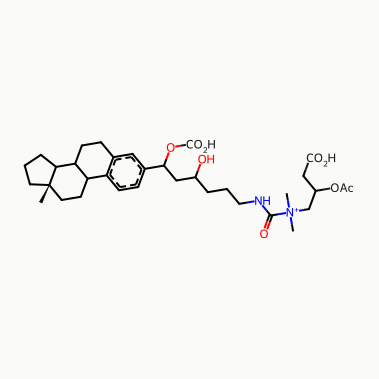 CC(=O)OC(CC(=O)O)C[N+](C)(C)C(=O)NCCCC(O)CC(OC(=O)O)c1ccc2c(c1)CCC1C2CC[C@]2(C)CCCC12